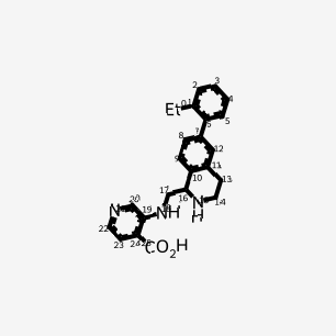 CCc1ccccc1-c1ccc2c(c1)CCNC2CNc1cnccc1C(=O)O